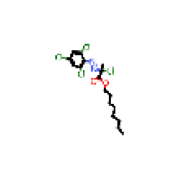 CCCCCCCCOC(=O)C(C)(Cl)/N=N/c1c(Cl)cc(Cl)cc1Cl